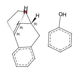 Oc1ccccc1.c1ccc2c(c1)C[C@H]1NCC[C@@]23CCCC[C@@H]13